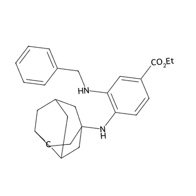 CCOC(=O)c1ccc(NC23CCC4CC(CC(C4)C2)C3)c(NCc2ccccc2)c1